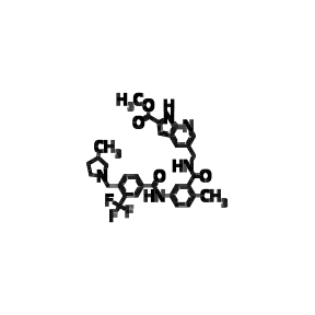 COC(=O)c1cc2cc(CNC(=O)c3cc(NC(=O)c4ccc(CN5CCC(C)C5)c(C(F)(F)F)c4)ccc3C)cnc2[nH]1